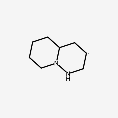 [CH]1CNN2CCCCC2C1